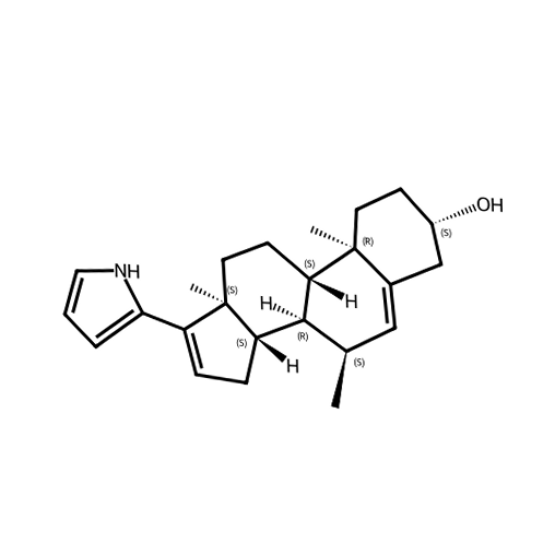 C[C@@H]1C=C2C[C@@H](O)CC[C@]2(C)[C@H]2CC[C@]3(C)C(c4ccc[nH]4)=CC[C@H]3[C@H]12